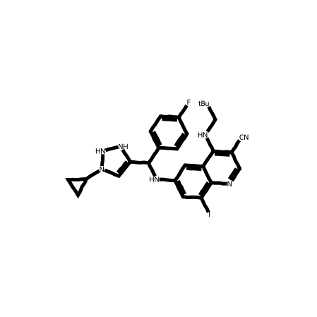 CC(C)(C)CNc1c(C#N)cnc2c(I)cc(NC(C3=CN(C4CC4)NN3)c3ccc(F)cc3)cc12